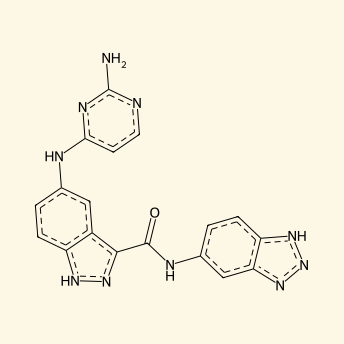 Nc1nccc(Nc2ccc3[nH]nc(C(=O)Nc4ccc5[nH]nnc5c4)c3c2)n1